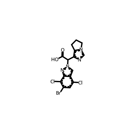 O=C(O)C(c1ncn2c1CCC2)n1cc2c(Cl)cc(Br)c(Cl)c2n1